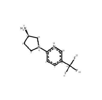 N[C@@H]1CCN(c2ccc(C(F)(F)F)cn2)C1